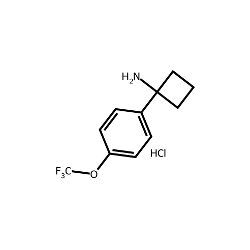 Cl.NC1(c2ccc(OC(F)(F)F)cc2)CCC1